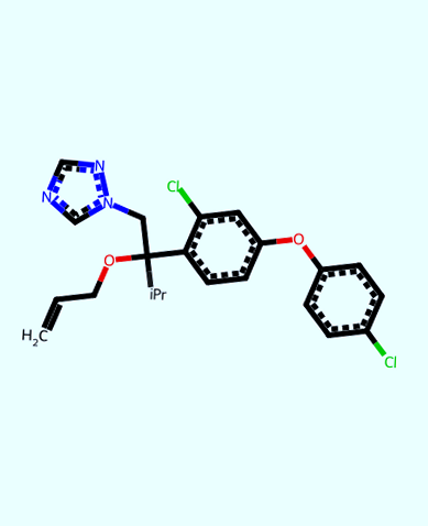 C=CCOC(Cn1cncn1)(c1ccc(Oc2ccc(Cl)cc2)cc1Cl)C(C)C